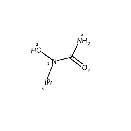 CC(C)N(O)C(N)=O